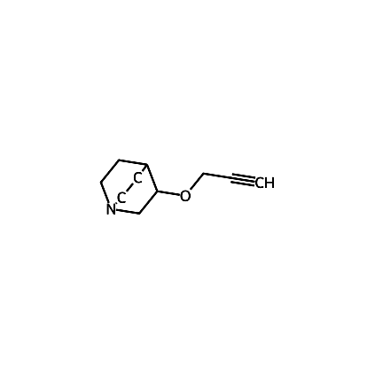 C#CCOC1CN2CCC1CC2